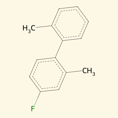 Cc1ccccc1-c1ccc(F)cc1C